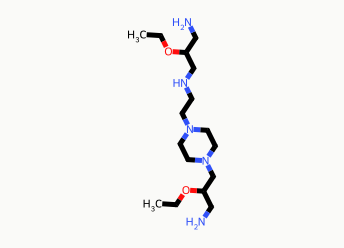 CCOC(CN)CNCCN1CCN(CC(CN)OCC)CC1